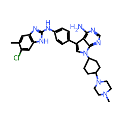 Cc1cc2nc(Nc3ccc(-c4cn(C5CCC(N6CCN(C)CC6)CC5)c5ncnc(N)c45)cc3)[nH]c2cc1Cl